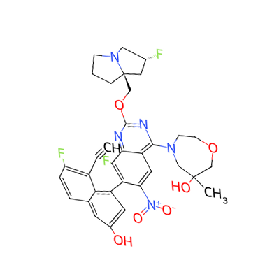 C#Cc1c(F)ccc2cc(O)cc(-c3c([N+](=O)[O-])cc4c(N5CCOCC(C)(O)C5)nc(OC[C@@]56CCCN5C[C@H](F)C6)nc4c3F)c12